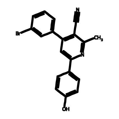 Cc1nc(-c2ccc(O)cc2)cc(-c2cccc(Br)c2)c1C#N